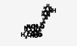 Cc1cnnc(C)c1C(=O)N[C@@H](CCOCCCCc1ccc2c(n1)NCCC2)C(=O)O